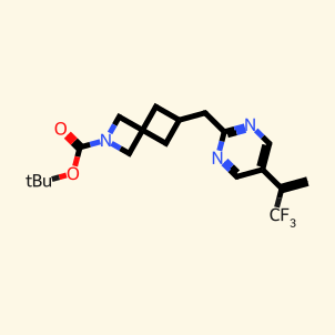 C=C(c1cnc(CC2CC3(C2)CN(C(=O)OC(C)(C)C)C3)nc1)C(F)(F)F